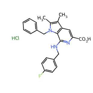 Cc1c(C)n(Cc2ccccc2)c2c(NCc3ccc(F)cc3)nc(C(=O)O)cc12.Cl